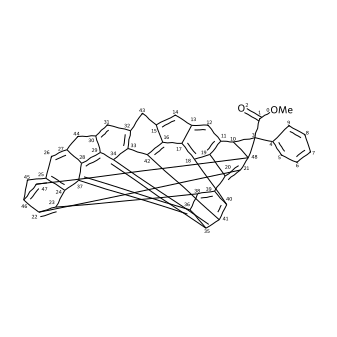 COC(=O)C1(c2ccccc2)C2c3cc4cc5c6c4c4c3c3c7c8c9c%10c(cc%11c%12c%13c(cc(c%14c%13c%13c(c%12%10)c9c3c4c%13c6%14)C5)C%11)CC8=CC721